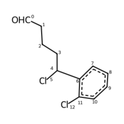 O=CCCCC(Cl)c1ccccc1Cl